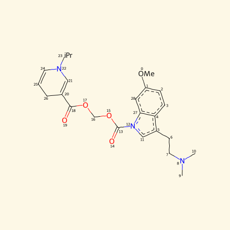 COc1ccc2c(CCN(C)C)cn(C(=O)OCOC(=O)C3=CN(C(C)C)C=CC3)c2c1